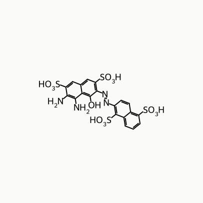 Nc1c(S(=O)(=O)O)cc2cc(S(=O)(=O)O)c(N=Nc3ccc4c(S(=O)(=O)O)cccc4c3S(=O)(=O)O)c(O)c2c1N